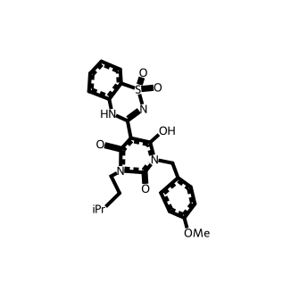 COc1ccc(Cn2c(O)c(C3=NS(=O)(=O)c4ccccc4N3)c(=O)n(CCC(C)C)c2=O)cc1